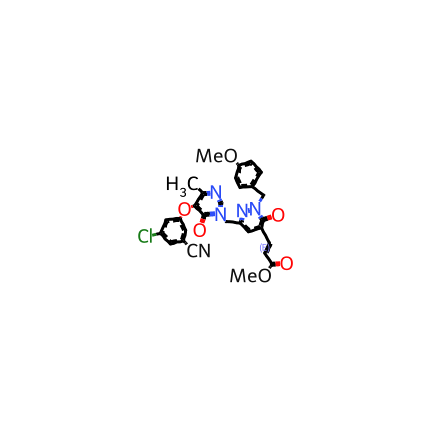 COC(=O)/C=C/c1cc(Cn2cnc(C)c(Oc3cc(Cl)cc(C#N)c3)c2=O)nn(Cc2ccc(OC)cc2)c1=O